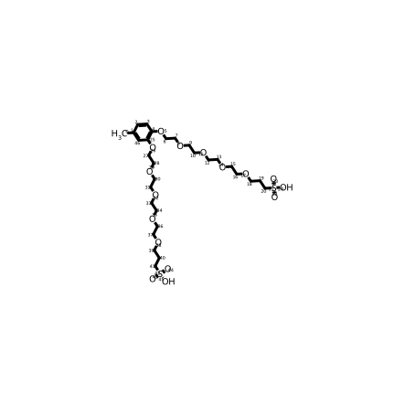 Cc1ccc(OCCOCCOCCOCCOCCCS(=O)(=O)O)c(OCCOCCOCCOCCOCCCS(=O)(=O)O)c1